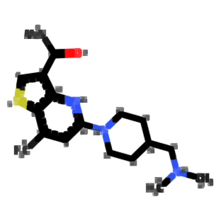 CNC(=O)c1csc2c(C(F)(F)F)cc(N3CC[C](CN(C)C)CC3)nc12